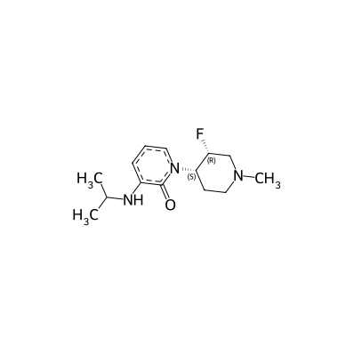 CC(C)Nc1cccn([C@H]2CCN(C)C[C@H]2F)c1=O